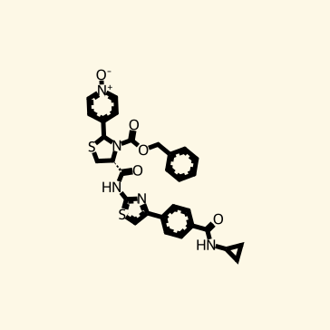 O=C(NC1CC1)c1ccc(-c2csc(NC(=O)[C@@H]3CSC(c4cc[n+]([O-])cc4)N3C(=O)OCc3ccccc3)n2)cc1